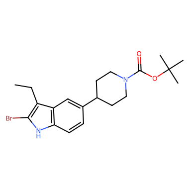 CCc1c(Br)[nH]c2ccc(C3CCN(C(=O)OC(C)(C)C)CC3)cc12